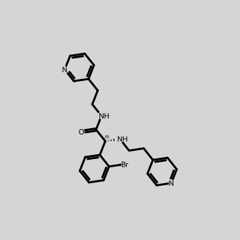 O=C(NCCc1cccnc1)[C@H](NCCc1ccncc1)c1ccccc1Br